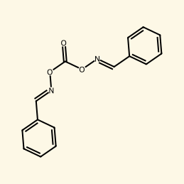 O=C(ON=Cc1ccccc1)ON=Cc1ccccc1